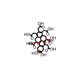 O=C(O)Cc1c(CC(=O)O)c(CC(=O)O)c(-c2c(CC(=O)O)c(CC(=O)O)c(CC(=O)O)c(CC(=O)O)c2CC(=O)O)c(CC(=O)O)c1CC(=O)O